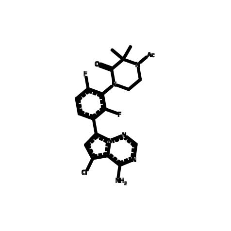 CC(=O)N1CCN(c2c(F)ccc(-c3cc(Cl)c4c(N)ncnn34)c2F)C(=O)C1(C)C